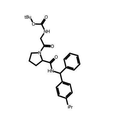 CC(C)c1ccc(C(NC(=O)C2CCCN2C(=O)CNC(=O)OC(C)(C)C)c2ccccc2)cc1